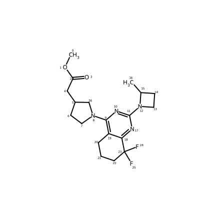 COC(=O)CC1CCN(c2nc(N3CCC3C)nc3c2CCCC3(F)F)C1